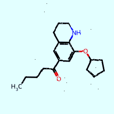 CCCCC(=O)c1cc2c(c(OC3CCCC3)c1)NCCC2